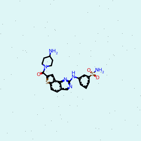 NC1CCN(C(=O)c2cc3c(ccc4cnc(Nc5cccc(S(N)(=O)=O)c5)nc43)s2)CC1